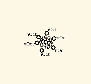 CCCCCCCCc1ccc(OC(=O)c2c(C(=O)Oc3ccc(CCCCCCCC)cc3)c(C(=O)Oc3ccc(CCCCCCCC)cc3)c(C(=O)Oc3ccc(CCCCCCCC)cc3)c(C(=O)Oc3ccc(CCCCCCCC)cc3)c2C(=O)Oc2ccc(CCCCCCCC)cc2)cc1